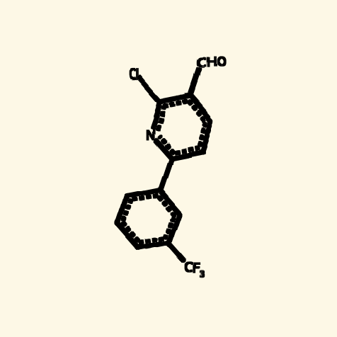 O=Cc1ccc(-c2cccc(C(F)(F)F)c2)nc1Cl